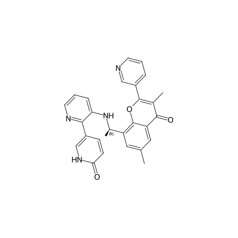 Cc1cc([C@@H](C)Nc2cccnc2-c2ccc(=O)[nH]c2)c2oc(-c3cccnc3)c(C)c(=O)c2c1